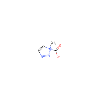 C[N+]1(C(=O)[O-])C=CN=N1